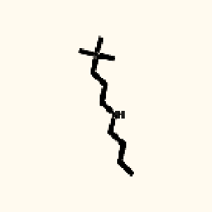 CCCCNCCCS(C)(C)C